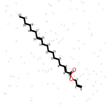 C=CCOC(=O)C=CCCCCCCCC=CCCCCCC